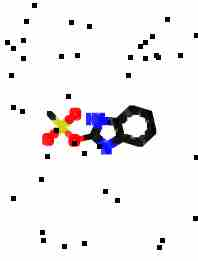 CS(=O)(=O)Oc1nc2ccccc2[nH]1